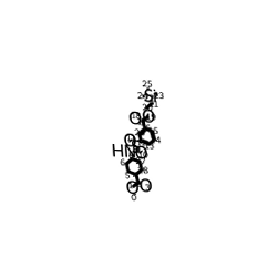 COC(=O)C1CCC(NS(=O)(=O)c2cccc(C(=O)OCC[Si](C)(C)C)c2)CC1